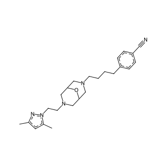 Cc1cc(C)n(CCN2CC3CN(CCCCc4ccc(C#N)cc4)CC(C2)O3)n1